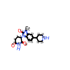 CCn1c(=O)n(C2CCC(=O)NC2=O)c2ccc(C3CCNCC3)cc21